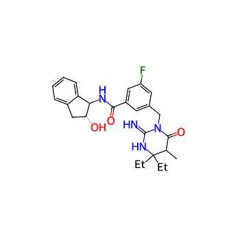 CCC1(CC)NC(=N)N(Cc2cc(F)cc(C(=O)NC3c4ccccc4C[C@H]3O)c2)C(=O)C1C